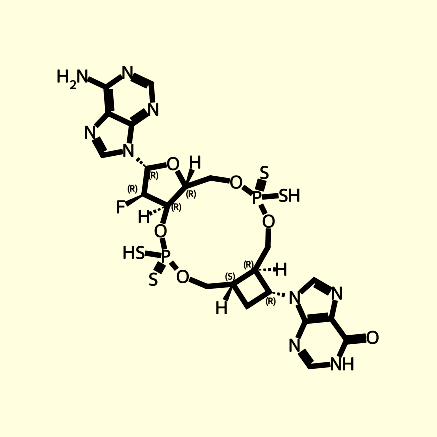 Nc1ncnc2c1ncn2[C@@H]1O[C@@H]2COP(=S)(S)OC[C@@H]3[C@@H](COP(=S)(S)O[C@H]2[C@H]1F)C[C@H]3n1cnc2c(=O)[nH]cnc21